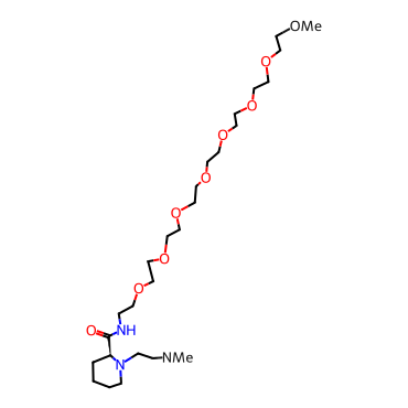 CNCCN1CCCC[C@H]1C(=O)NCCOCCOCCOCCOCCOCCOCCOCCOC